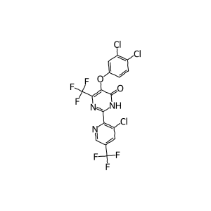 O=c1[nH]c(-c2ncc(C(F)(F)F)cc2Cl)nc(C(F)(F)F)c1Oc1ccc(Cl)c(Cl)c1